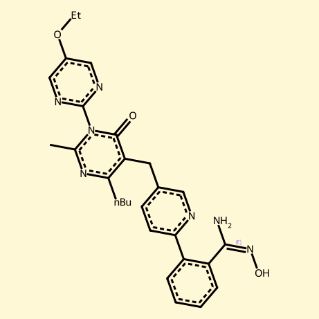 CCCCc1nc(C)n(-c2ncc(OCC)cn2)c(=O)c1Cc1ccc(-c2ccccc2/C(N)=N\O)nc1